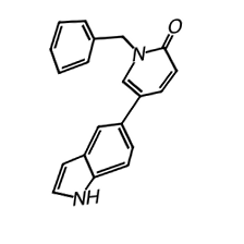 O=c1ccc(-c2ccc3[nH]ccc3c2)cn1Cc1ccccc1